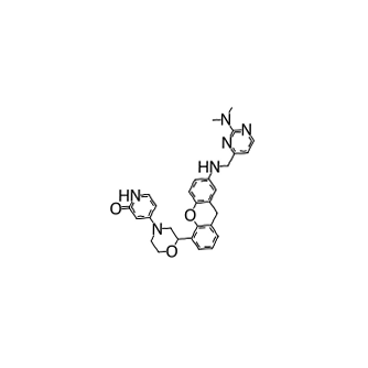 CN(C)c1nccc(CNc2ccc3c(c2)Cc2cccc(C4CN(c5cc[nH]c(=O)c5)CCO4)c2O3)n1